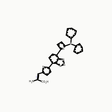 N/C(=C/c1ccc(-c2ccc(-c3ccc(N(c4ccccc4)c4ccccc4)s3)c3nsnc23)s1)C(=O)O